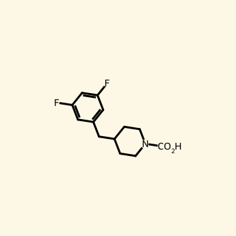 O=C(O)N1CCC(Cc2cc(F)cc(F)c2)CC1